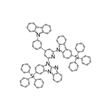 c1ccc([Si](c2ccccc2)(c2ccccc2)c2ccc3c(c2)c2ccccc2n3-c2cc(-c3cccc(-n4c5ccccc5c5ccccc54)c3)cc(-n3c4ccc([Si](c5ccccc5)(c5ccccc5)c5ccccc5)cc4n4c5ccccc5nc34)n2)cc1